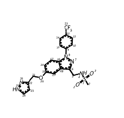 CS(=O)(=O)NCc1nn(-c2ccc(C(F)(F)F)cc2)c2ccc(OCc3cc[nH]n3)cc12